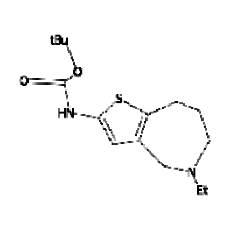 CCN1CCCc2sc(NC(=O)OC(C)(C)C)cc2C1